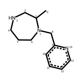 CC1CNCCCN1Cc1ccccn1